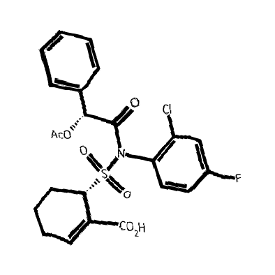 CC(=O)O[C@@H](C(=O)N(c1ccc(F)cc1Cl)S(=O)(=O)[C@H]1CCCC=C1C(=O)O)c1ccccc1